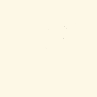 CCn1cnc(NCC2CCCCC2)n1